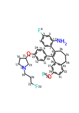 Nc1cc(F)ccc1C1=C(c2ccc(OC3CCN(CCCF)C3)cc2)c2cc(OF)ccc2CCC1